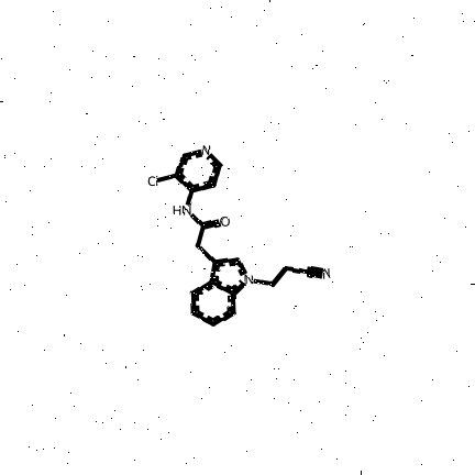 N#CCCn1cc(CC(=O)Nc2ccncc2Cl)c2ccccc21